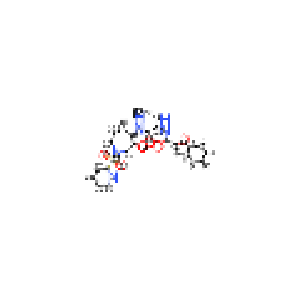 CC(C)C[C@H](NC(=O)c1cc2ccccc2o1)C(=O)NC1C(=O)CN(S(=O)(=O)c2ccccn2)CCC1C